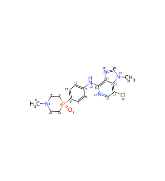 CN1CCP(=O)(c2ccc(Nc3ncc(Cl)c4c3ncn4C)cc2)CC1